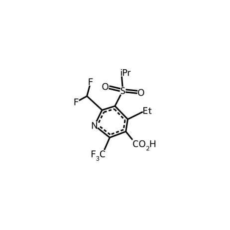 CCc1c(C(=O)O)c(C(F)(F)F)nc(C(F)F)c1S(=O)(=O)C(C)C